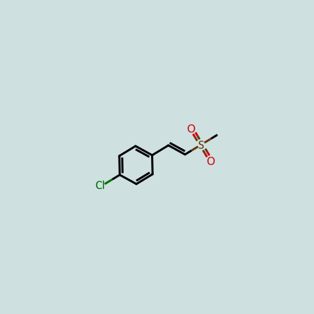 CS(=O)(=O)C=Cc1ccc(Cl)cc1